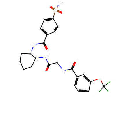 NS(=O)(=O)c1ccc(C(=O)N[C@@H]2CCCC[C@@H]2NC(=O)CNC(=O)c2cccc(OC(F)(F)F)c2)cc1